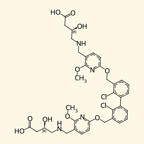 COc1nc(OCc2cccc(-c3cccc(COc4ccc(CNC[C@H](O)CC(=O)O)c(OC)n4)c3Cl)c2Cl)ccc1CNC[C@H](O)CC(=O)O